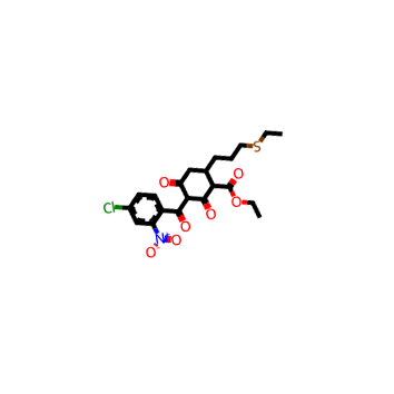 CCOC(=O)C1C(=O)C(C(=O)c2ccc(Cl)cc2[N+](=O)[O-])C(=O)CC1CCCSCC